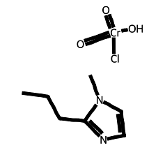 CCCc1nccn1C.[O]=[Cr](=[O])([OH])[Cl]